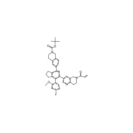 C=CC(=O)N1CCc2ncc(-c3nc(-c4ccc5c(c4)CCN(C(=O)OC(C)(C)C)C5)c4c(c3-c3ccc(F)cc3OC)CCC4)cc2C1